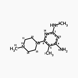 CNc1nc(N)c(C)c(N2CCN(C)CC2)n1